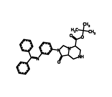 CC(C)(C)OC(=O)C1CNCC2C(=O)N(c3cccc(N=C(c4ccccc4)c4ccccc4)c3)CN12